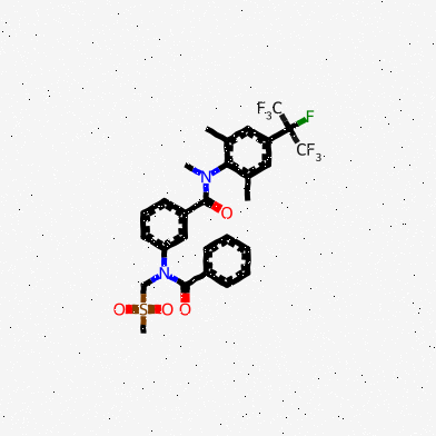 Cc1cc(C(F)(C(F)(F)F)C(F)(F)F)cc(C)c1N(C)C(=O)c1cccc(N(CS(C)(=O)=O)C(=O)c2ccccc2)c1